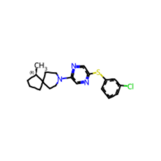 C[C@@H]1CCCC12CCN(c1cnc(Sc3cccc(Cl)c3)cn1)CC2